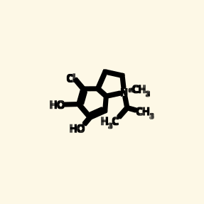 CC(C)[N+]1(C)CCC2C(Cl)=C(O)C(O)=CC21